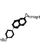 CCCCCCCOc1ccc2cc([C@H]3CC[C@H](CCCC)CC3)ccc2c1